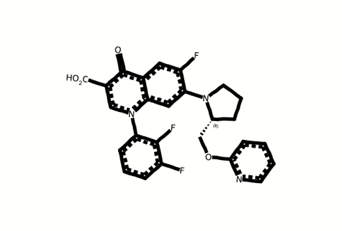 O=C(O)c1cn(-c2cccc(F)c2F)c2cc(N3CCC[C@@H]3COc3ccccn3)c(F)cc2c1=O